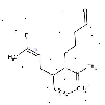 C/C=C\C(C/C=C(\C)F)C(CCCC=O)NC